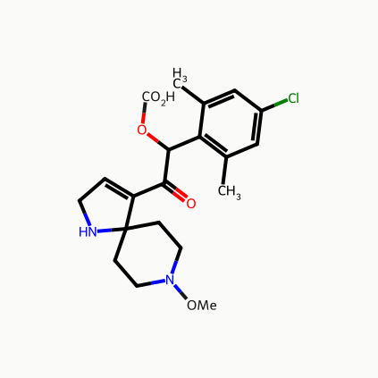 CON1CCC2(CC1)NCC=C2C(=O)C(OC(=O)O)c1c(C)cc(Cl)cc1C